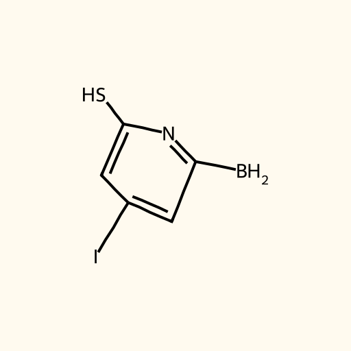 Bc1cc(I)cc(S)n1